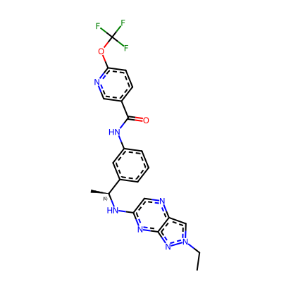 CCn1cc2ncc(N[C@@H](C)c3cccc(NC(=O)c4ccc(OC(F)(F)F)nc4)c3)nc2n1